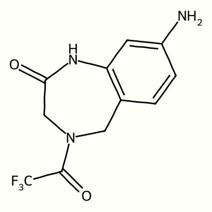 Nc1ccc2c(c1)NC(=O)CN(C(=O)C(F)(F)F)C2